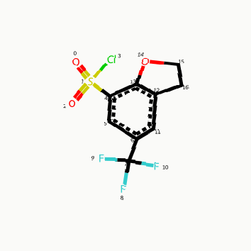 O=S(=O)(Cl)c1cc(C(F)(F)F)cc2c1OCC2